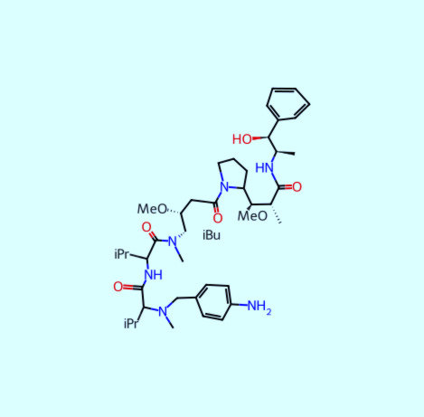 CC[C@H](C)[C@@H]([C@@H](CC(=O)N1CCCC1[C@H](OC)[C@@H](C)C(=O)N[C@H](C)[C@@H](O)c1ccccc1)OC)N(C)C(=O)C(NC(=O)C(C(C)C)N(C)Cc1ccc(N)cc1)C(C)C